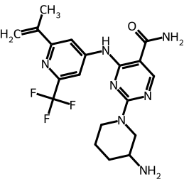 C=C(C)c1cc(Nc2nc(N3CCCC(N)C3)ncc2C(N)=O)cc(C(F)(F)F)n1